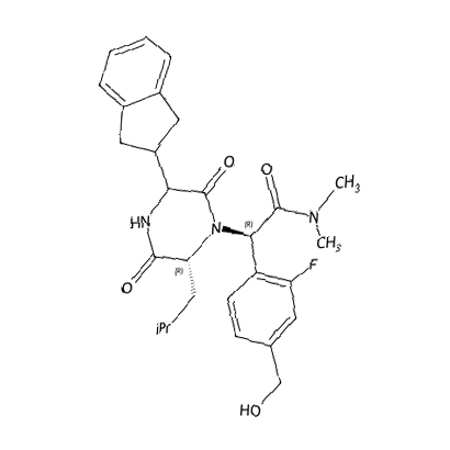 CC(C)C[C@@H]1C(=O)NC(C2Cc3ccccc3C2)C(=O)N1[C@@H](C(=O)N(C)C)c1ccc(CO)cc1F